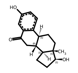 C[C@]12CC[C@@H]3c4ccc(O)cc4C(=O)C[C@H]3[C@@H]1CC[C@@H]2O